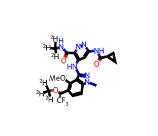 [2H]C([2H])([2H])NC(=O)c1nnc(NC(=O)C2CC2)cc1Nc1nn(C)c2ccc([C@H](OC([2H])([2H])[2H])C(F)(F)F)c(OC)c12